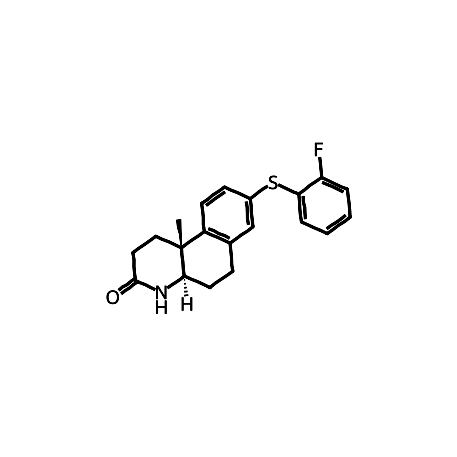 C[C@]12CCC(=O)N[C@@H]1CCc1cc(Sc3ccccc3F)ccc12